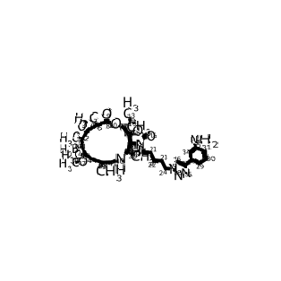 B[C@@H]1[C@@H](C)C(=O)[C@@H](C)C(=O)O[C@H](CC)[C@@]2(C)OC(=O)N(CCCCCn3cc(-c4cccc(N)c4)nn3)[C@@H]2[C@@H](C)NC[C@H](C)C[C@@]1(C)OC